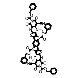 CC1=C(C#N)C(=O)N(C(=O)OCc2ccccc2)C(=O)/C1=N/c1cc2c(s1)c1cc3c(cc1n2C(=O)OCc1ccccc1)c1sc(/N=C2/C(=O)N(C(=O)OCc4ccccc4)C(=O)C(C#N)=C2C)cc1n3C(=O)OCc1ccccc1